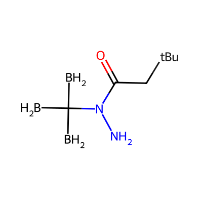 BC(B)(B)N(N)C(=O)CC(C)(C)C